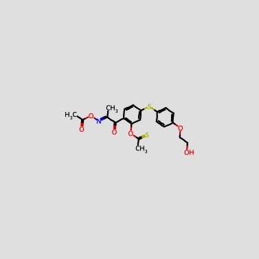 CC(=O)O/N=C(\C)C(=O)c1ccc(Sc2ccc(OCCO)cc2)cc1OC(C)=S